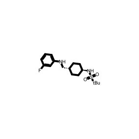 CC(C)(C)S(=O)(=O)N[C@H]1CC[C@H](CNc2cccc(F)c2)CC1